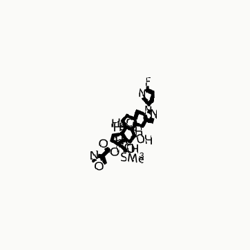 CSC(=O)[C@@]1(OC(=O)c2cocn2)CC[C@H]2[C@@H]3CCC4=Cc5c(cnn5-c5ccc(F)nc5)CC4(C)[C@H]3[C@@H](O)C[C@@]21C